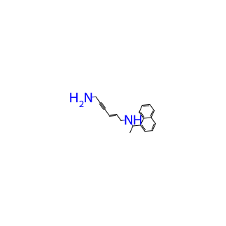 CC(NCC=CC#CCN)c1cccc2ccccc12